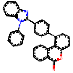 O=c1oc2cccc(-c3ccc(-c4nc5ccccc5n4-c4ccccc4)cc3)c2c2ccccc12